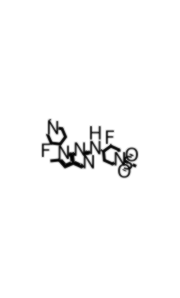 Cc1cc2cnc(N[C@@H]3CCN(S(C)(=O)=O)C[C@H]3F)nc2n1[C@H]1CCN(C)C[C@@H]1F